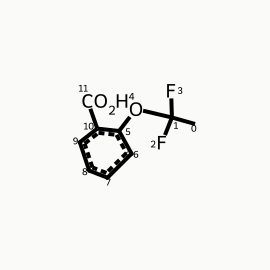 CC(F)(F)Oc1ccccc1C(=O)O